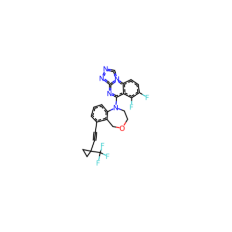 Fc1ccc2c(c(N3CCOCc4c(C#CC5(C(F)(F)F)CC5)cccc43)nc3nncn32)c1F